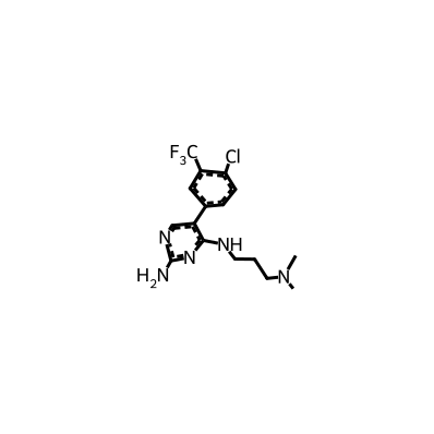 CN(C)CCCNc1nc(N)ncc1-c1ccc(Cl)c(C(F)(F)F)c1